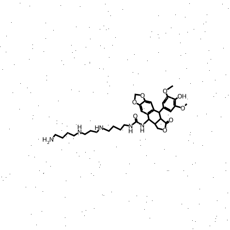 COc1cc(C2c3cc4c(cc3C(NC(=O)NCCCCNCCCNCCCCN)C3COC(=O)C23)OCO4)cc(OC)c1O